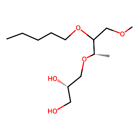 CCCCCOC(COC)[C@H](C)OC[C@@H](O)CO